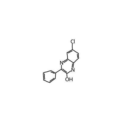 Oc1nc2ccc(Cl)cc2nc1-c1ccccc1